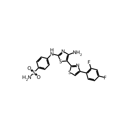 Nc1nc(Nc2ccc(S(N)(=O)=O)cc2)sc1-c1nc(-c2ccc(F)cc2F)cs1